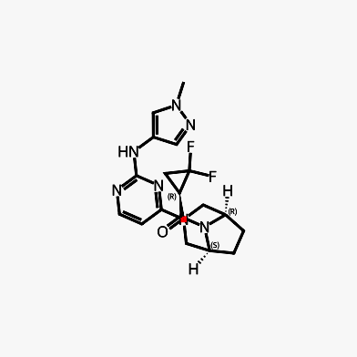 Cn1cc(Nc2nccc(N3C[C@H]4CC[C@@H](C3)N4C(=O)[C@H]3CC3(F)F)n2)cn1